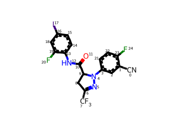 N#Cc1cc(N2N=C(C(F)(F)F)CC2C(=O)Nc2ccc(I)cc2F)ccc1F